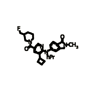 CCCN(c1ccc2c(c1)CN(C)C2=O)c1ncc(C(=O)N2CCCC(CF)C2)cc1C1CCC1